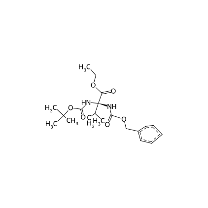 CCOC(=O)[C@@](NC(=O)OCc1ccccc1)(NC(=O)OC(C)(C)C)C(C)C